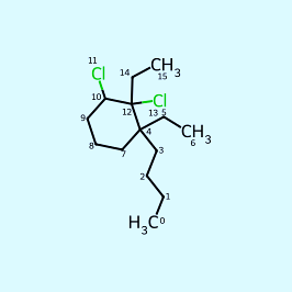 CCCCC1(CC)CCCC(Cl)C1(Cl)CC